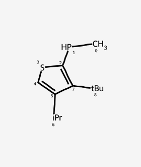 CPc1scc(C(C)C)c1C(C)(C)C